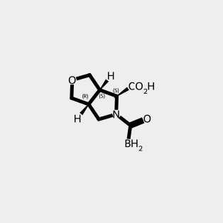 BC(=O)N1C[C@@H]2COC[C@@H]2[C@H]1C(=O)O